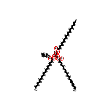 CCCCCCCCCCCCCCCCCC(=O)OOB(OOC(=O)CCCCCCCCCCCCCCCCC)OOC(=O)CCCCCCCCCCCCCCCCC.[Nb].[Nb].[Nb]